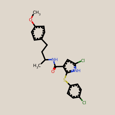 COc1ccc(CCC(C)NC(=O)c2cc(Cl)[nH]c2Sc2ccc(Cl)cc2)cc1